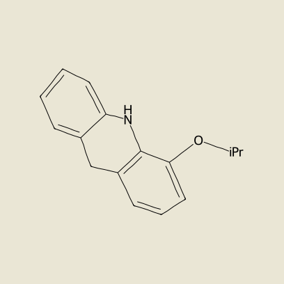 CC(C)Oc1cccc2c1Nc1ccccc1C2